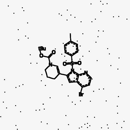 Cc1ccc(S(=O)(=O)n2c(C3=CN(C(=O)OC(C)(C)C)CCC3)cc3c(Br)ccnc32)cc1